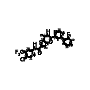 CC(NC(=O)c1cc(-c2ccncc2F)ncn1)c1ncc(C(=O)Nc2cc(C(F)(F)F)c(Cl)cn2)s1